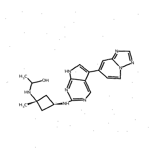 CC(O)N[C@]1(C)C[C@@H](Nc2ncc3c(-c4ccn5ncnc5c4)c[nH]c3n2)C1